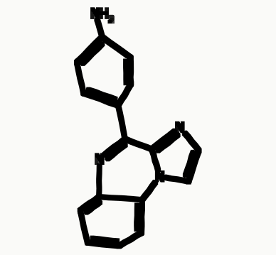 Nc1ccc(-c2nc3ccccc3n3ccnc23)cc1